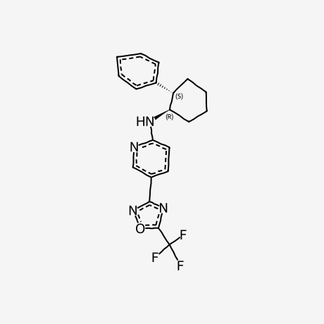 FC(F)(F)c1nc(-c2ccc(N[C@@H]3CCCC[C@H]3c3ccccc3)nc2)no1